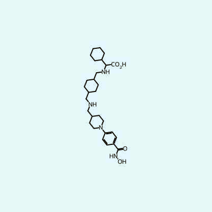 O=C(NO)c1ccc(N2CCC(CNCC3CCC(CNC(C(=O)O)C4CCCCC4)CC3)CC2)cc1